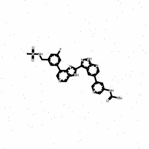 CC(C)(C)C(=O)Nc1cncc(-c2cnc3[nH]nc(-c4nc5c(-c6cc(F)cc(CNS(C)(=O)=O)c6)cncc5[nH]4)c3c2)c1